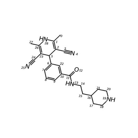 CC1=C(C#N)C(c2cccc(C(=O)NCCC3CCNCC3)c2)C(C#N)=C(C)N1